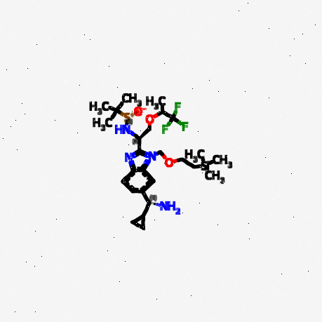 CC(OC[C@H](N[S@+]([O-])C(C)(C)C)c1nc2ccc([C@H](N)C3CC3)cc2n1COCC[Si](C)(C)C)C(F)(F)F